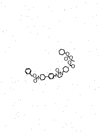 CC(OC(=O)OC1CCCCC1)OC(=O)[C@H]1CC[C@H](N2CCN(c3ccc(C4CCN(C(=O)OCc5ccccc5)CC4)cc3)C2=O)CC1